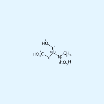 CN(C(=O)O)[C@H](CO)CC(=O)O